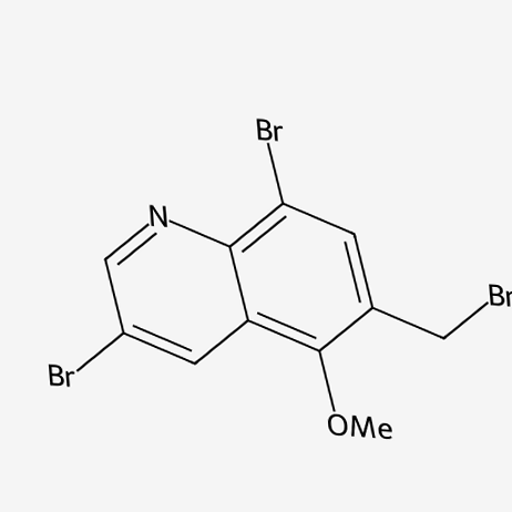 COc1c(CBr)cc(Br)c2ncc(Br)cc12